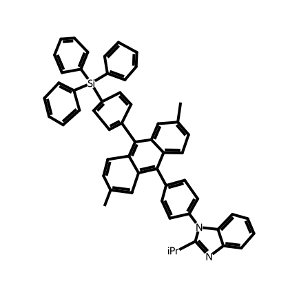 Cc1ccc2c(-c3ccc([Si](c4ccccc4)(c4ccccc4)c4ccccc4)cc3)c3cc(C)ccc3c(-c3ccc(-n4c(C(C)C)nc5ccccc54)cc3)c2c1